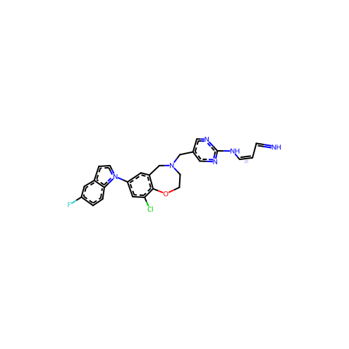 N=C/C=C\Nc1ncc(CN2CCOc3c(Cl)cc(-n4ccc5cc(F)ccc54)cc3C2)cn1